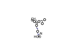 COc1ccc(N(c2ccc(C=C(c3ccccc3)c3ccccc3)cc2)c2ccc(/C=C/c3ccc(/C=C(\C#N)C(=O)O)cc3)cc2)cc1